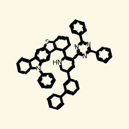 C1=CCC(C2=CCCC(C3=CC(c4nc(-c5ccccc5)nc(-c5ccccc5)n4)=C(C4CC=CC5Sc6cc7c(cc6C54)N(c4ccccc4)C4CC=CC=C74)NC3)=C2)C=C1